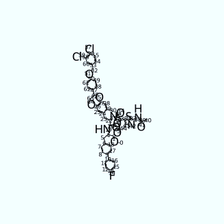 COC(=O)C(Cc1ccc(-c2ccc(F)cc2)cc1)NC(=O)C1Cc2cc3c(cc2CN1S(=O)(=O)c1sc(NC(C)=O)nc1C)OC(c1ccc(OCc2ccc(Cl)c(Cl)c2)cc1)CO3